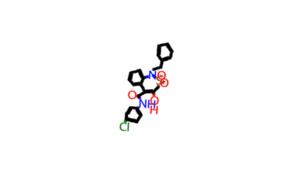 O=C(Nc1ccc(Cl)cc1)C1=C(O)CS(=O)(=O)N(CCc2ccccc2)c2ccccc21